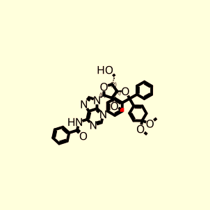 CO[C@@H]1[C@H](OC(C2=CCC(OC)(OC)C=C2)(c2ccccc2)c2ccccc2)[C@@H](CO)O[C@H]1n1cnc2c(NC(=O)c3ccccc3)ncnc21